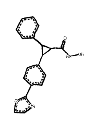 O=C(NO)C1C(c2ccccc2)C1c1ccc(-c2ncco2)cc1